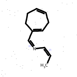 C/C=C\N=C/C1=CCC=CCC1